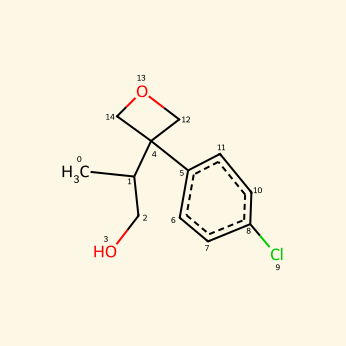 CC(CO)C1(c2ccc(Cl)cc2)COC1